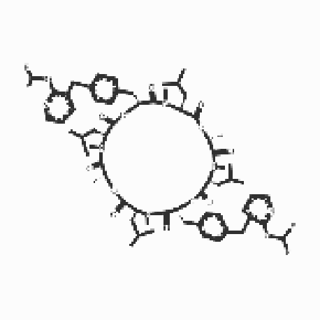 CC(C)C[C@H]1C(=O)O[C@H](Cc2ccc(Cc3cccnc3OC(F)F)cc2)C(=O)N(C)[C@@H](CC(C)C)C(=O)O[C@H](C)C(=O)N(C)[C@@H](CC(C)C)C(=O)O[C@H](Cc2ccc(Cc3cccnc3OC(F)F)cc2)C(=O)N(C)[C@@H](CC(C)C)C(=O)O[C@H](C)C(=O)N1C